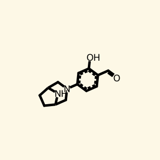 O=Cc1ccc(N2CC3CCC(C2)N3)cc1O